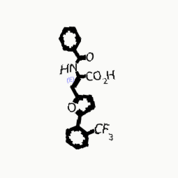 O=C(O)/C(=C\c1ccc(-c2ccccc2C(F)(F)F)o1)NC(=O)c1ccccc1